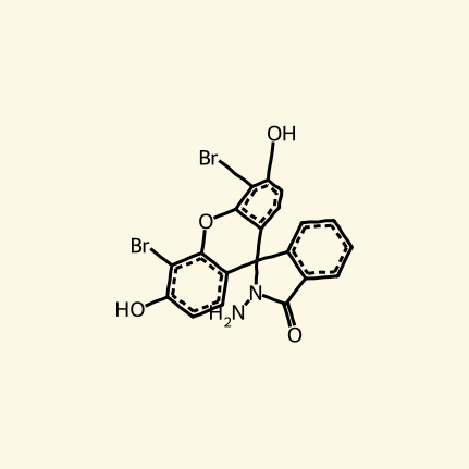 NN1C(=O)c2ccccc2C12c1ccc(O)c(Br)c1Oc1c2ccc(O)c1Br